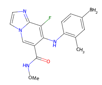 Bc1ccc(Nc2c(C(=O)NOC)cn3ccnc3c2F)c(C)c1